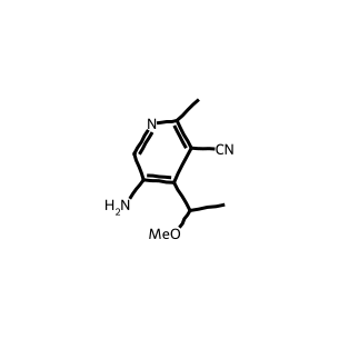 COC(C)c1c(N)cnc(C)c1C#N